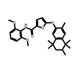 COc1cccc(OC)c1NC(=O)c1ccc(Oc2cc3c(cc2C)C(C)(C)C(C)CC3(C)C)o1